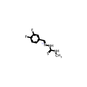 CNC(=S)N/N=C/c1ccc(F)c(F)c1